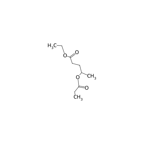 CCOC(=O)CCC(C)OC(=O)CC